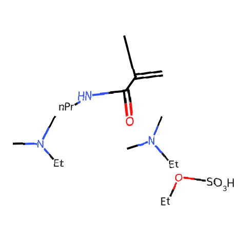 C=C(C)C(=O)NCCC.CCN(C)C.CCN(C)C.CCOS(=O)(=O)O